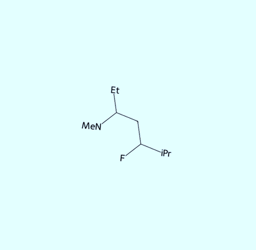 CCC(CC(F)C(C)C)NC